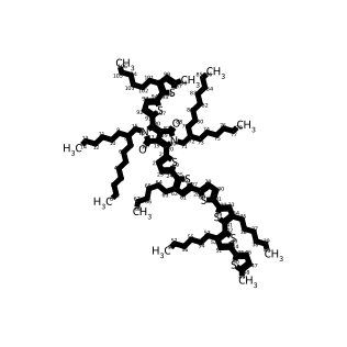 CCCCCCCCC(CCCCCC)CN1C(=O)C2=C(c3ccc(-c4sc(-c5ccc(-c6cc(CCCCCC)c(-c7sc(-c8ccc(C)s8)cc7CCCCCC)s6)s5)cc4CCCCCC)s3)N(CC(CCCCCC)CCCCCCCC)C(=O)C2=C1c1ccc(-c2sc(C)cc2CCCCCC)s1